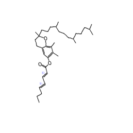 CCC/C=C/C=C/C(=O)Oc1cc2c(c(C)c1C)OC(C)(CCCC(C)CCCC(C)CCCC(C)C)CC2